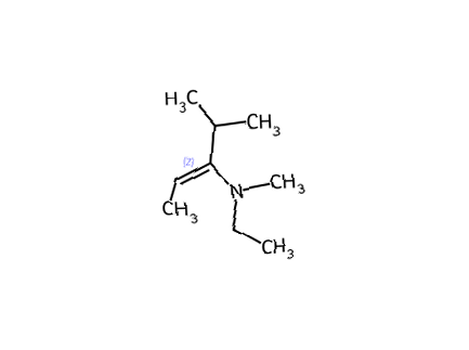 C/C=C(/C(C)C)N(C)CC